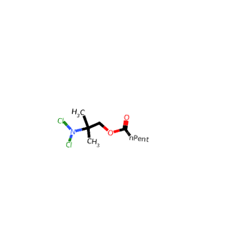 CCCCCC(=O)OCC(C)(C)N(Cl)Cl